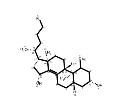 CC(=O)OC1C[C@H](O)C[C@@H]2CCC3=C4[C@H](O)C[C@H]([C@H](C)CCCC(C)C)[C@@]4(C)CC[C@@H]3[C@@]12C